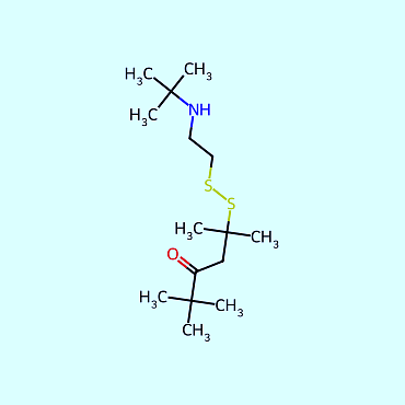 CC(C)(C)NCCSSC(C)(C)CC(=O)C(C)(C)C